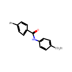 CCOC(=O)c1ccc(NC(=O)c2ccc(C(C)C)cc2)cc1